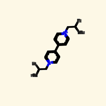 CCCCC(CC)C[n+]1ccc(-c2cc[n+](CC(CC)CCCC)cc2)cc1